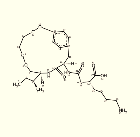 CC[C@H](C)[C@H]1COCCCCOc2ccc(cc2)C[C@@H](NC(=O)N[C@@H](CCCCN)C(=O)O)C(=O)N1